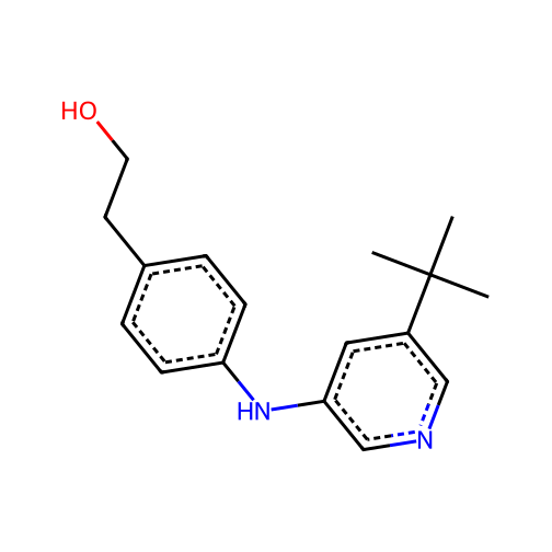 CC(C)(C)c1cncc(Nc2ccc(CCO)cc2)c1